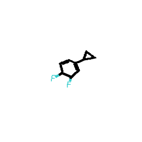 FC1C=CC(C2CC2)=CC1F